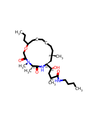 CCCCNC(=O)[C@H](C)C[C@H](O)[C@@H]1C[C@H](C)CCCCCCC(CCC)OCC(=O)N(C)[C@@H](C)C(=O)N1